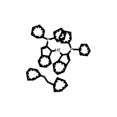 C1=C(P(c2ccccc2)c2ccccc2)[CH]([Hf][CH]2C(P(c3ccccc3)c3ccccc3)=Cc3ccccc32)c2ccccc21.c1ccc(CCc2ccccc2)cc1